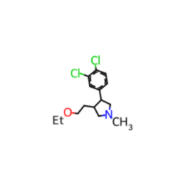 CCOCCC1CN(C)CC1c1ccc(Cl)c(Cl)c1